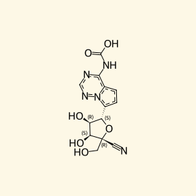 N#C[C@]1(CO)O[C@@H](c2ccc3c(NC(=O)O)ncnn23)[C@H](O)[C@@H]1O